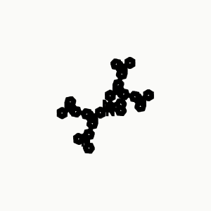 c1ccc(-n2c3ccccc3c3cc(-c4ccc5c(c4)c4cc(-c6ccc7c(c6)c6ccccc6n7-c6ccccc6)ccc4n5-c4ccc(-c5nc(-c6cccc(-n7c8ccc(-c9ccc%10c(c9)c9ccccc9n%10-c9ccccc9)cc8c8cc(-c9ccc%10c(c9)c9ccccc9n%10-c9ccccc9)ccc87)c6)c6c(n5)-c5cccc7cccc-6c57)cc4)ccc32)cc1